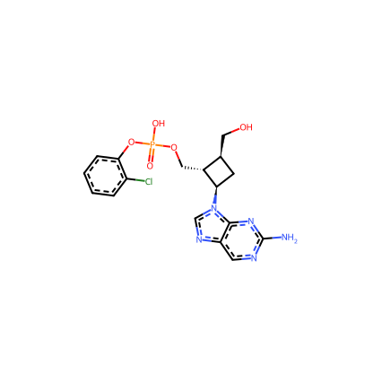 Nc1ncc2ncn([C@@H]3C[C@H](CO)[C@H]3COP(=O)(O)Oc3ccccc3Cl)c2n1